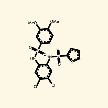 COc1ccc(S(=O)(=O)Nc2cc(Cl)c(Cl)cc2NS(=O)(=O)c2cccs2)cc1OC